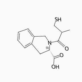 CC(CS)C(=O)N1Cc2ccccc2C[C@H]1C(=O)O